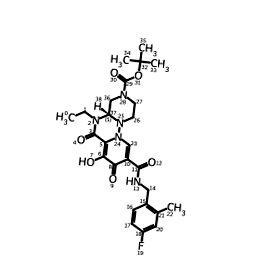 CCN1C(=O)c2c(O)c(=O)c(C(=O)NCc3ccc(F)cc3C)cn2N2CCN(C(=O)OC(C)(C)C)C[C@@H]12